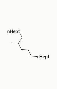 CCCCCCC[CH]CCC(C)CCCCCCCC